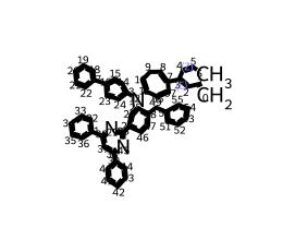 C=C/C=C(\C=C/C)C1=CCC=C(N(c2ccc(-c3ccccc3)cc2)c2cc(-c3nc(-c4ccccc4)cc(-c4ccccc4)n3)ccc2Cc2ccccc2)C=C1